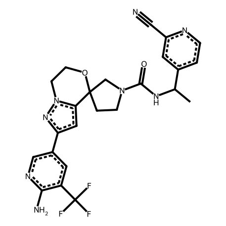 CC(NC(=O)N1CCC2(C1)OCCn1nc(-c3cnc(N)c(C(F)(F)F)c3)cc12)c1ccnc(C#N)c1